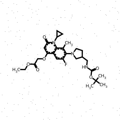 CCOC(=O)COc1cc(=O)n(C2CC2)c2c(C)c(N3CCC(CNC(=O)OC(C)(C)C)C3)c(F)cc12